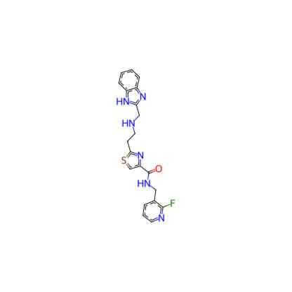 O=C(NCc1cccnc1F)c1csc(CCNCc2nc3ccccc3[nH]2)n1